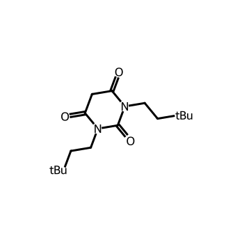 CC(C)(C)CCN1C(=O)CC(=O)N(CCC(C)(C)C)C1=O